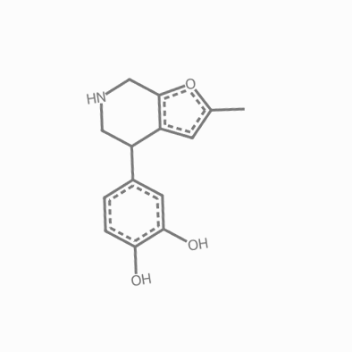 Cc1cc2c(o1)CNCC2c1ccc(O)c(O)c1